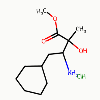 COC(=O)C(C)(O)C(N)CC1CCCCC1.Cl